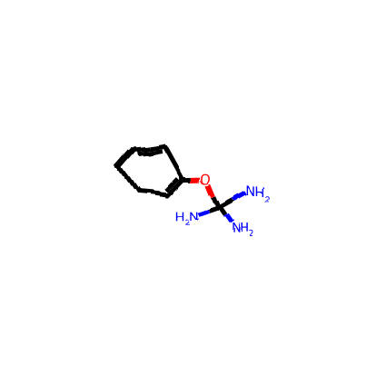 NC(N)(N)OC1=CCCC=C1